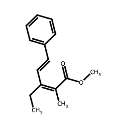 CCC(C=Cc1ccccc1)=C(C)C(=O)OC